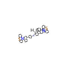 CC1(C)C2=C(C=CC(N3c4ccccc4Sc4ccccc43)C2)c2ccc(/C=C/c3ccc(-c4ccc(N5c6ccccc6Sc6ccccc65)c5ccccc45)cc3)cc21